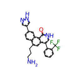 NCCCc1cc2c(-c3ccccc3C(F)(F)F)c[nH]c(=O)c2c2cc(-c3cn[nH]c3)ccc12